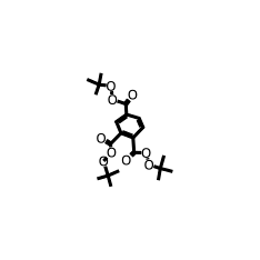 CC(C)(C)OOC(=O)c1ccc(C(=O)OOC(C)(C)C)c(C(=O)OOC(C)(C)C)c1